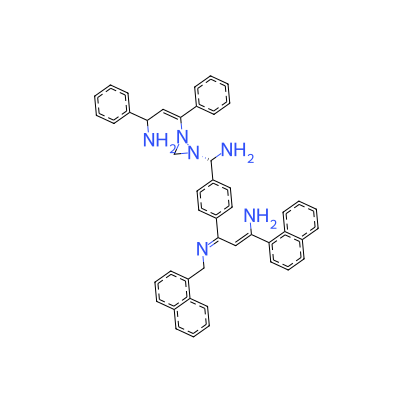 N/C(=C\C(=N/Cc1cccc2ccccc12)c1ccc(C(N)[N@]2CN2/C(=C\C(N)c2ccccc2)c2ccccc2)cc1)c1cccc2ccccc12